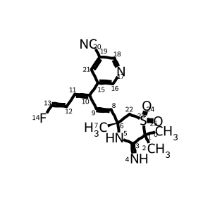 CC1(C)C(=N)N[C@](C)(/C=C/C(=C\C=C\F)c2cncc(C#N)c2)CS1(=O)=O